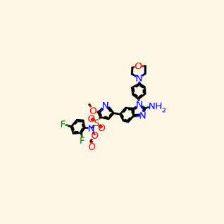 COc1ncc(-c2ccc3nc(N)n(-c4ccc(N5CCOCC5)cc4)c3c2)cc1S(=O)(=O)N(OC=O)c1ccc(F)cc1F